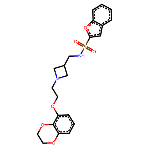 O=S(=O)(NCC1CN(CCOc2cccc3c2OCCO3)C1)c1cc2ccccc2o1